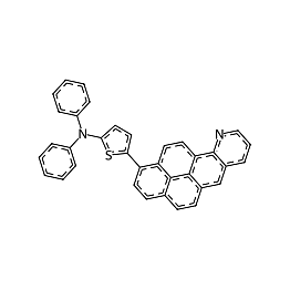 c1ccc(N(c2ccccc2)c2ccc(-c3ccc4ccc5cc6cccnc6c6ccc3c4c56)s2)cc1